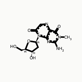 Cn1c(N)nc2c(ncc(=O)n2[C@H]2C[C@H](O)[C@@H](CO)O2)c1=O